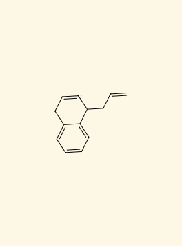 C=CCC1[C]=CCc2ccccc21